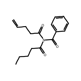 C=CCCC(=O)N(C(=O)CCCC)C(=O)c1ccccc1